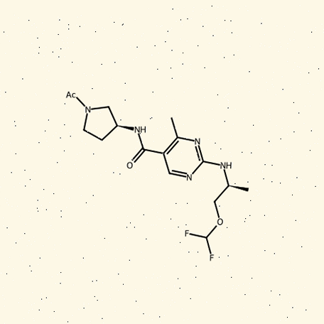 CC(=O)N1CC[C@H](NC(=O)c2cnc(N[C@@H](C)COC(F)F)nc2C)C1